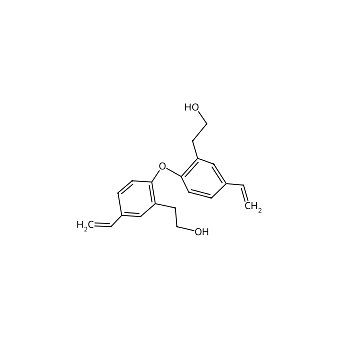 C=Cc1ccc(Oc2ccc(C=C)cc2CCO)c(CCO)c1